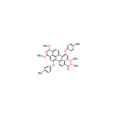 CCCCOC(=O)c1ccc2c3c(Oc4ccc(C(C)(C)C)cc4)cc(C(=O)OCCCC)c4c(C(=O)OCCCC)ccc(c5c(Oc6ccc(C(C)(C)C)cc6)cc(OCCCC)c1c25)c43